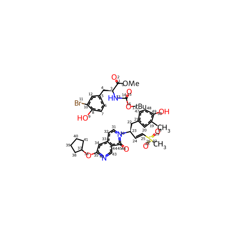 COC(=O)[C@H](Cc1ccc(O)c(Br)c1)NC(=O)OC(C)(C)C.Cc1cc(C[C@@H](/C=C/S(C)(=O)=O)n2ccc3cc(OC4CCCC4)ncc3c2=O)ccc1O